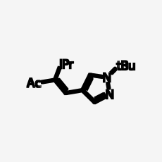 CC(=O)/C(=C/c1cnn(C(C)(C)C)c1)C(C)C